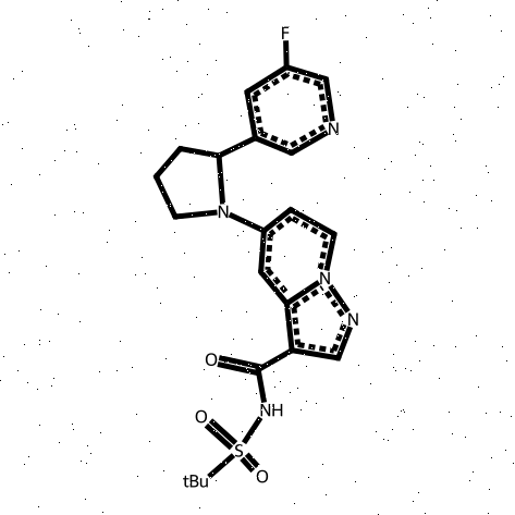 CC(C)(C)S(=O)(=O)NC(=O)c1cnn2ccc(N3CCCC3c3cncc(F)c3)cc12